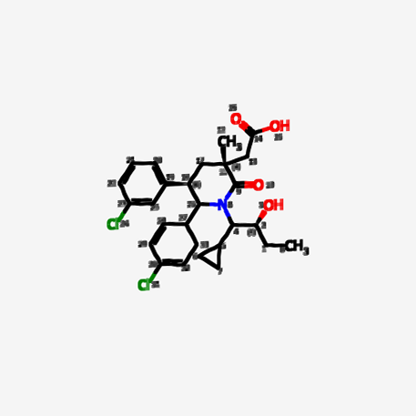 CC[C@H](O)C(C1CC1)N1C(=O)[C@@](C)(CC(=O)O)C[C@H](c2cccc(Cl)c2)C1C1C=CC(Cl)=CC1